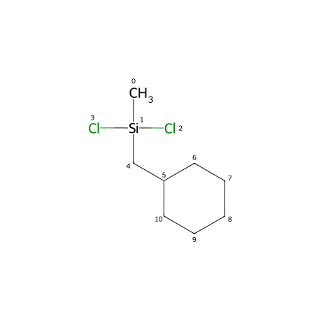 C[Si](Cl)(Cl)CC1CCCCC1